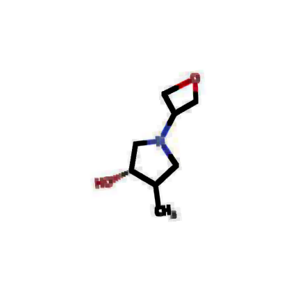 CC1CN(C2COC2)C[C@H]1O